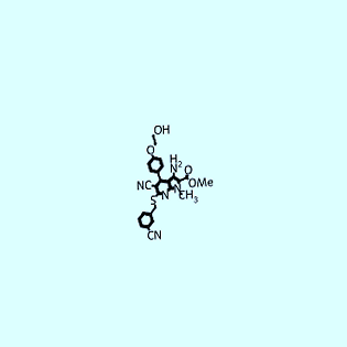 COC(=O)c1c(N)c2c(-c3ccc(OCCO)cc3)c(C#N)c(SCc3cccc(C#N)c3)nc2n1C